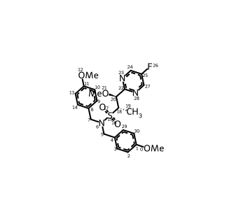 COc1ccc(CN(Cc2ccc(OC)cc2)S(=O)(=O)[C@@H](C)[C@@H](OC)c2ncc(F)cn2)cc1